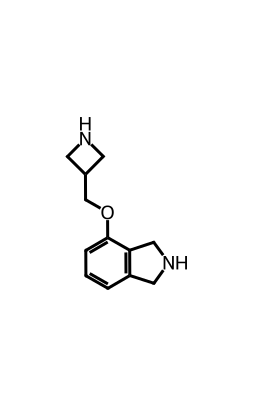 c1cc2c(c(OCC3CNC3)c1)CNC2